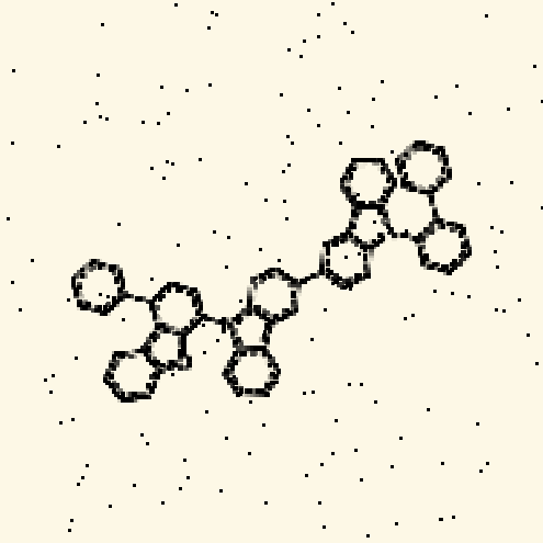 c1ccc(-c2ccccc2-n2c3ccccc3c3cc(-c4ccc5c(c4)c4ccccc4n5-c4ccc(-c5ccccc5)c5c4oc4ccccc45)ccc32)cc1